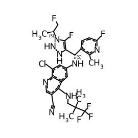 Cc1nc(F)ccc1[C@H](Nc1cc(Cl)c2ncc(C#N)c(NCC(C)(C)C(F)(F)F)c2c1)C1=C(F)N([C@@H](C)CF)NN1